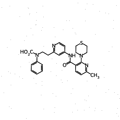 Cc1ccc(C(=O)Nc2ccnc(CCN(C(=O)O)c3ccccc3)c2)c(N2CCSCC2)n1